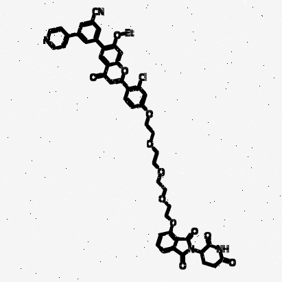 CCOc1cc2oc(-c3ccc(OCCOCCOCCOCCOc4cccc5c4C(=O)N(C4CCC(=O)NC4=O)C5=O)cc3Cl)cc(=O)c2cc1-c1cc(C#N)cc(-c2ccncc2)c1